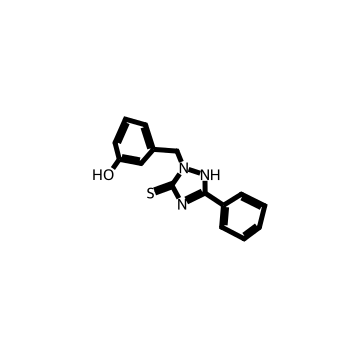 Oc1cccc(Cn2[nH]c(-c3ccccc3)nc2=S)c1